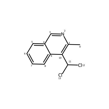 Cc1ncc2ccccc2c1C(Cl)Cl